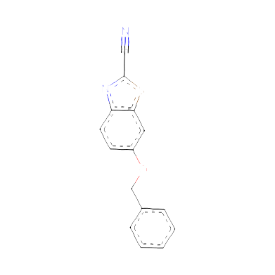 N#Cc1nc2ccc(OCc3ccccc3)cc2s1